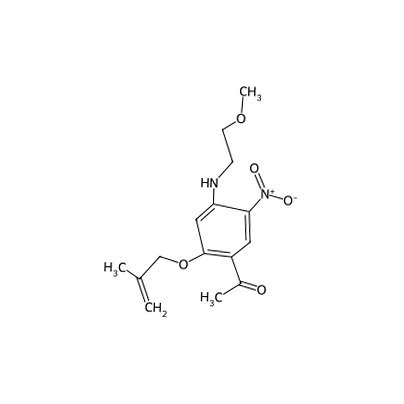 C=C(C)COc1cc(NCCOC)c([N+](=O)[O-])cc1C(C)=O